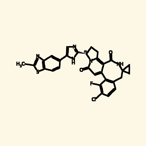 Cc1nc2cc(-c3cnc([C@@H]4CCc5c6c(cc(=O)n54)-c4c(ccc(Cl)c4F)CC4(CC4)NC6=O)[nH]3)ccc2s1